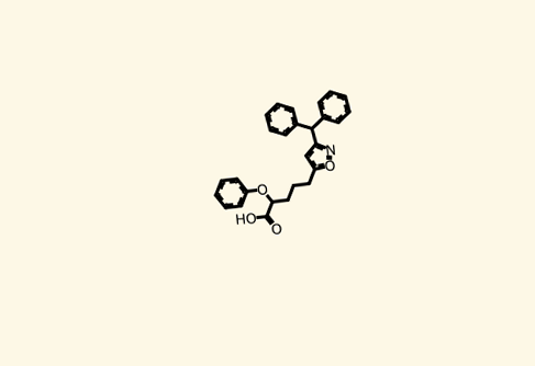 O=C(O)C(CCCc1cc(C(c2ccccc2)c2ccccc2)no1)Oc1ccccc1